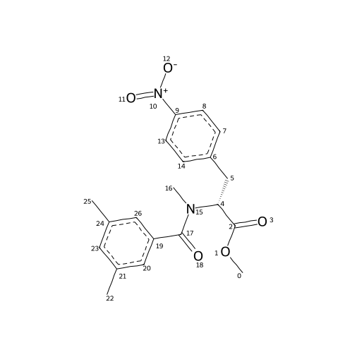 COC(=O)[C@@H](Cc1ccc([N+](=O)[O-])cc1)N(C)C(=O)c1cc(C)cc(C)c1